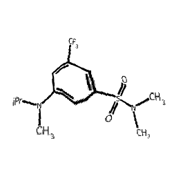 CC(C)N(C)c1cc(C(F)(F)F)cc(S(=O)(=O)N(C)C)c1